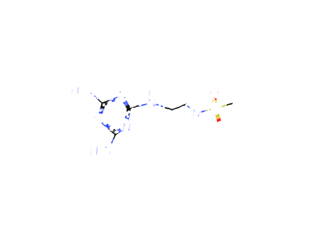 CS(=O)(=O)NCCNc1nc(N)nc(N)n1